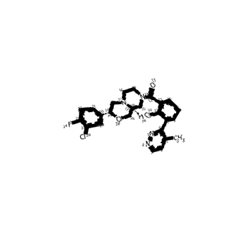 Cc1ccnnc1-c1cccc(C(=O)N2CCN3C[C@@H](c4ccc(F)c(Cl)c4)OC[C@@H]3C2)c1Cl